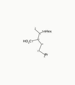 CCCCCCC(C)C(CCC(C)C)C(=O)O